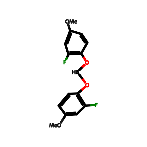 COc1ccc(OBOc2ccc(OC)cc2F)c(F)c1